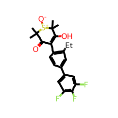 CCc1cc(-c2cc(F)c(F)c(F)c2)ccc1C1=C(O)C(C)(C)[S+]([O-])C(C)(C)C1=O